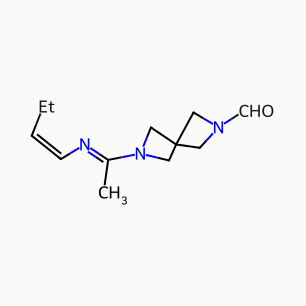 CC/C=C\N=C(/C)N1CC2(CN(C=O)C2)C1